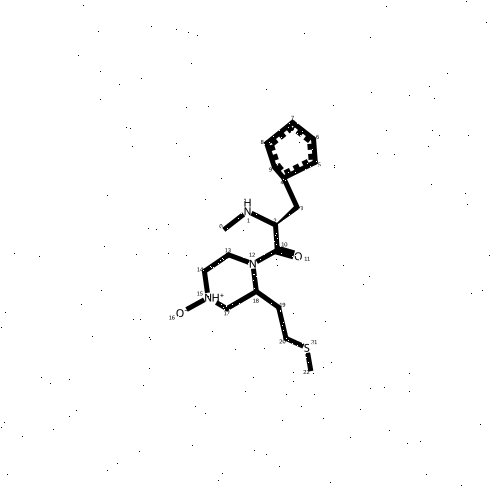 CN[C@@H](Cc1ccccc1)C(=O)N1CC[NH+]([O-])CC1CCSC